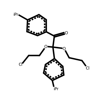 CC(C)c1ccc(C(=O)C(OCCCl)(OCCCl)c2ccc(C(C)C)cc2)cc1